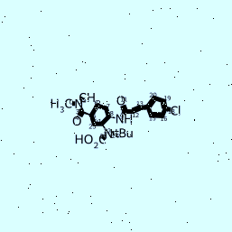 CN(C)C(=O)[C@H]1CC[C@H](NC(=O)C=Cc2ccc(Cl)cc2)[C@H](N(C(=O)O)C(C)(C)C)C1